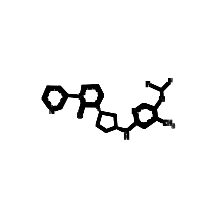 Cc1cc(N[C@H]2CC[C@H](c3cccn(-c4cccnc4)c3=O)C2)ncc1OC(F)F